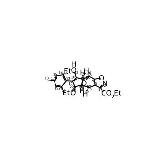 CCOC(=O)C1=NOC2C1[C@@H]1O[C@H]2[C@H]2C(O)=C(c3c(CC)cc(C)cc3CC)C(=O)[C@H]21